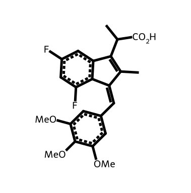 COc1cc(/C=C2/C(C)=C(C(C)C(=O)O)c3cc(F)cc(F)c32)cc(OC)c1OC